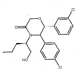 CCC[C@H](CO)N1C(=O)CO[C@H](c2cccc(Cl)c2)C1c1ccc(Cl)cc1